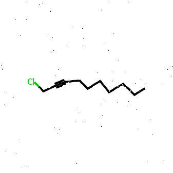 CCCCCCCC#CCCl